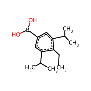 CCc1c(C(C)C)cc(B(O)O)cc1C(C)C